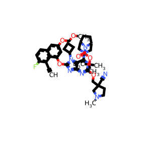 C#Cc1c(F)ccc2cc(OCOC)cc(Oc3nc4nc(OCC5(C#N)CCN(C)C5)nc(N5CC6CCC(C5)N6C(=O)OC(C)(C)C)c4n3C3CCC3)c12